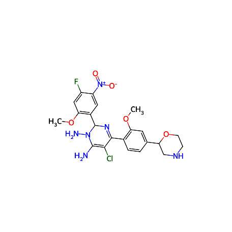 COc1cc(C2CNCCO2)ccc1C1=NC(c2cc([N+](=O)[O-])c(F)cc2OC)N(N)C(N)=C1Cl